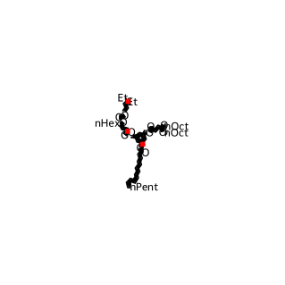 CCCCC/C=C\C/C=C\CCCCCCCC(=O)OCc1cc(COC(=O)CCC(CCCCCC)OC(=O)OCCCN(CC)CC)cc(COC(=O)CCC(OCCCCCCCC)OCCCCCCCC)c1